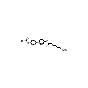 CCCCCCCCCCCCCCCC(=O)Oc1ccc(-c2ccc(OC(=O)C(C)CC)cc2)cc1